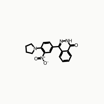 O=c1[nH]nc(-c2ccc(N3CCCC3)c([N+](=O)[O-])c2)c2ccccc12